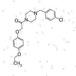 CCOc1ccc(OCC(=O)N2CCN(Cc3ccc(Cl)cc3)CC2)cc1